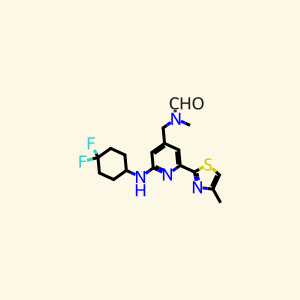 Cc1csc(-c2cc(CN(C)C=O)cc(NC3CCC(F)(F)CC3)n2)n1